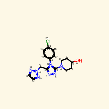 OC1CCN(c2nnc(Cn3nccn3)n2-c2ccc(Cl)cc2)CC1